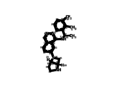 Cc1c([C@@H](C)Nc2nncc3ccc(N4C[C@@H]5NCC[C@@H]54)cc23)cccc1C(F)(F)F